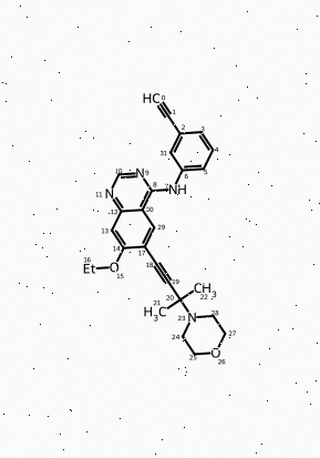 C#Cc1cccc(Nc2ncnc3cc(OCC)c(C#CC(C)(C)N4CCOCC4)cc23)c1